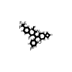 CC(C)c1nc2c(c(-c3ccc(F)cc3)c1[C@@H](F)c1ccc(C(F)(F)F)cc1)[C@H](O)CC1(CCC1)C2